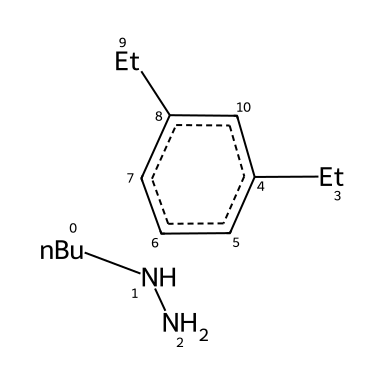 CCCCNN.CCc1cccc(CC)c1